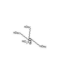 CCCCCCCCCCCCCCCCCCc1cc(CCCCCCCCCCCCCCCCCC)c(I=O)c(S(=O)(=O)O)c1CCCCCCCCCCCCCCCCCC